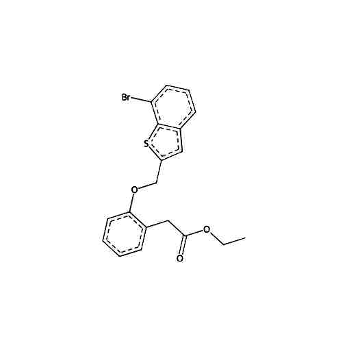 CCOC(=O)Cc1ccccc1OCc1cc2cccc(Br)c2s1